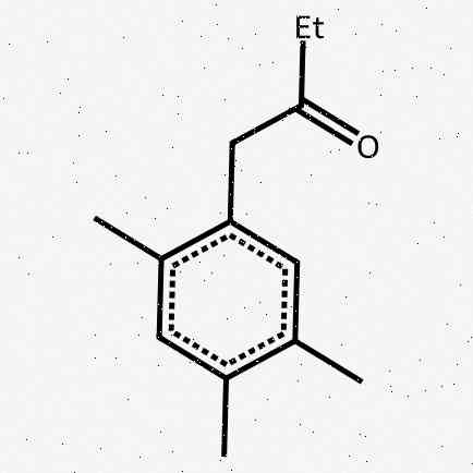 CCC(=O)Cc1cc(C)c(C)cc1C